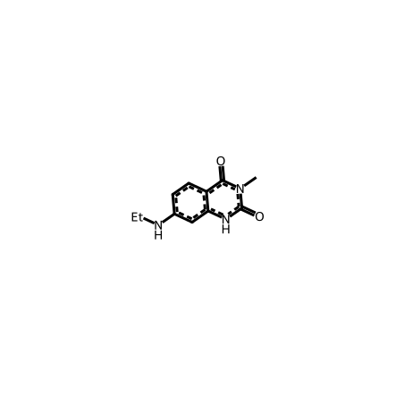 CCNc1ccc2c(=O)n(C)c(=O)[nH]c2c1